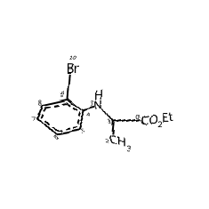 CCOC(=O)C(C)Nc1ccccc1Br